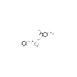 CC(O)c1cn(CC(=O)N2C[C@H](F)C[C@H]2C(=O)NCc2cccc(Cl)c2F)c2ccc(N=C=O)cc12